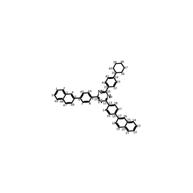 c1ccc2cc(-c3ccc(-c4nc(-c5ccc(-c6ccc7ccccc7c6)cc5)nc(-c5ccc(C6CCCCC6)cc5)n4)cc3)ccc2c1